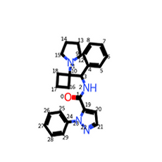 O=C(NC(c1ccccc1)C1(N2CCCC2)CCC1)c1ccnn1-c1ccccc1